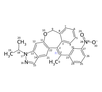 C/C(=C1/c2ccccc2COc2cc3c(cnn3C(C)C)cc21)c1cccc([N+](=O)[O-])c1